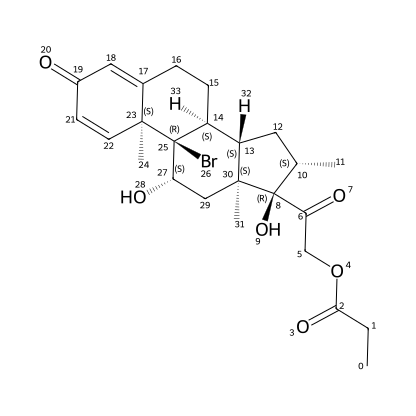 CCC(=O)OCC(=O)[C@@]1(O)[C@@H](C)C[C@H]2[C@@H]3CCC4=CC(=O)C=C[C@]4(C)[C@@]3(Br)[C@@H](O)C[C@@]21C